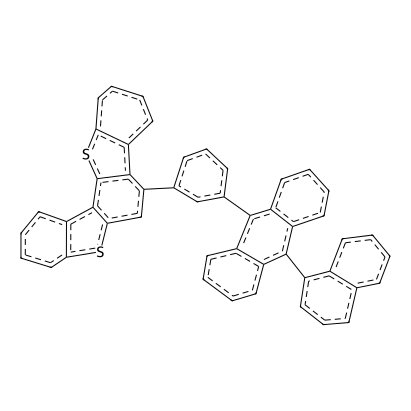 c1cc(-c2c3ccccc3c(-c3cccc4ccccc34)c3ccccc23)cc(-c2cc3sc4ccccc4c3c3sc4ccccc4c23)c1